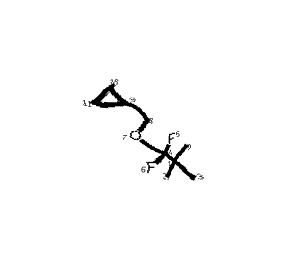 CC(C)(C)C(F)(F)OCC1CC1